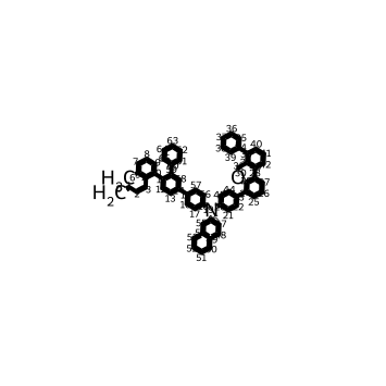 C=C/C=C\c1c(C)cccc1-c1ccc(-c2ccc(N(c3ccc(-c4cccc5c4OCc4c(-c6ccccc6)cccc4-5)cc3)c3ccc4ccccc4c3)cc2)cc1-c1ccccc1